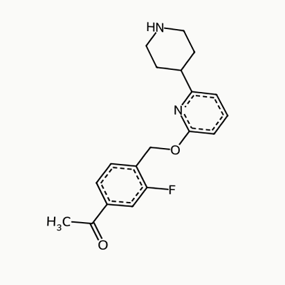 CC(=O)c1ccc(COc2cccc(C3CCNCC3)n2)c(F)c1